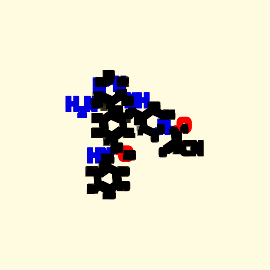 C=C(C#N)C(=O)N1CCC(CNc2ncnc(N)c2-c2ccc(C(=O)Nc3ccccc3)cc2)CC1